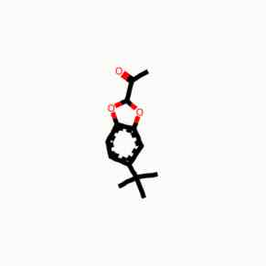 CC(=O)C1Oc2ccc(C(C)(C)C)cc2O1